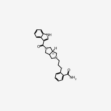 NC(=O)c1ccccc1[CH]CCN1CC2CN(C(=O)c3c[nH]c4ccccc34)C[C@@H]2C1